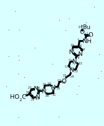 CC(C)(C)OC(=O)NCc1cnc(N2CCN(CCOCCN3CCN(c4ncc(C(=O)O)cn4)CC3)CC2)nc1